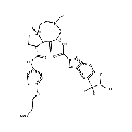 COCCOc1ccc(NC(=O)[C@@H]2CC[C@@H]3CCN(C(C)=O)C[C@H](NC(=O)c4cc5cc(C(F)(F)P(O)O)ccc5s4)C(=O)N32)cc1